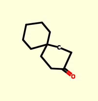 O=C1CCC2(CCCCC2)CC1